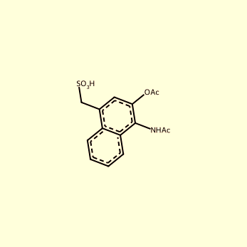 CC(=O)Nc1c(OC(C)=O)cc(CS(=O)(=O)O)c2ccccc12